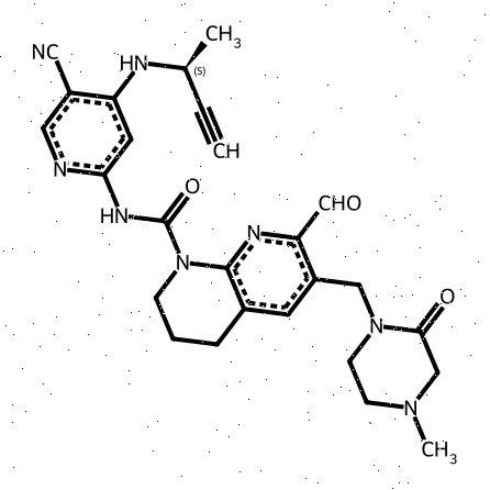 C#C[C@H](C)Nc1cc(NC(=O)N2CCCc3cc(CN4CCN(C)CC4=O)c(C=O)nc32)ncc1C#N